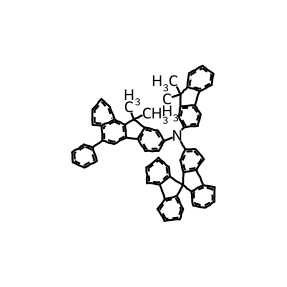 CC1(C)c2ccccc2-c2ccc(N(c3ccc4c(c3)C(C)(C)c3c-4cc(-c4ccccc4)c4ccccc34)c3ccc4c(c3)C3(c5ccccc5-c5ccccc53)c3ccccc3-4)cc21